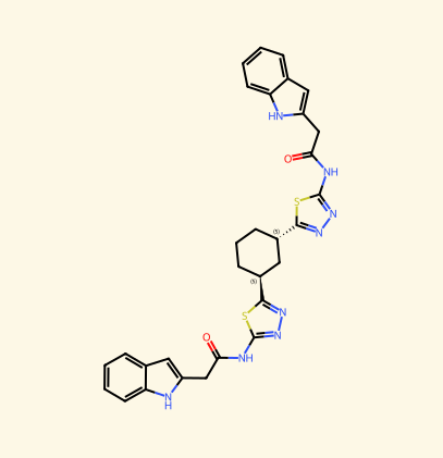 O=C(Cc1cc2ccccc2[nH]1)Nc1nnc([C@H]2CCC[C@H](c3nnc(NC(=O)Cc4cc5ccccc5[nH]4)s3)C2)s1